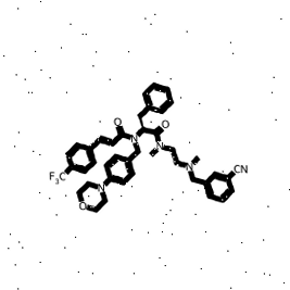 CN(CCN(C)C(=O)[C@H](Cc1ccccc1)N(Cc1ccc(N2CCOCC2)cc1)C(=O)C=Cc1ccc(C(F)(F)F)cc1)Cc1cccc(C#N)c1